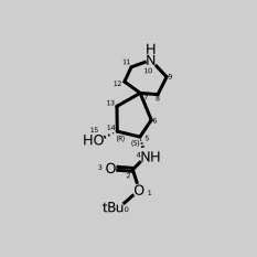 CC(C)(C)OC(=O)N[C@H]1CC2(CCNCC2)C[C@H]1O